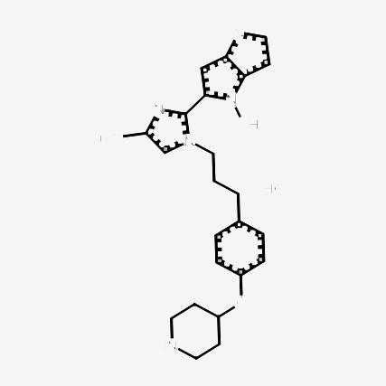 CCCc1cn(CCCc2ccc(OC3CCNCC3)cc2)c(-c2cc3sccc3n2C)n1.Cl